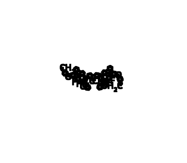 C=Cc1ccc(Oc2ccc(C3(c4ccc(F)c(F)c4)c4ccccc4-c4ccc(N(c5ccc6c(c5)C(C)(C)c5cc(N(c7ccc8c(c7)C(c7ccc(Oc9ccc(C=C)cc9)cc7)(c7ccc(F)c(F)c7)c7ccccc7-8)c7ccc8oc9ccccc9c8c7)ccc5-6)c5ccc6oc7ccccc7c6c5)cc43)cc2)cc1